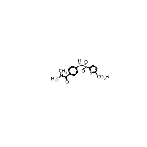 CN(C)C(=O)c1ccc(NS(=O)(=O)c2ccc(C(=O)O)s2)cc1